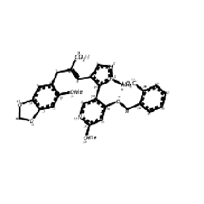 CCCCn1ncc(C=C(Cc2cc3c(cc2OC)OCO3)C(=O)O)c1-c1cnc(OC)cc1OCc1ccccc1C(=O)O